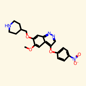 COc1cc2c(Oc3ccc([N+](=O)[O-])cc3)cnnc2cc1OCC1CCNCC1